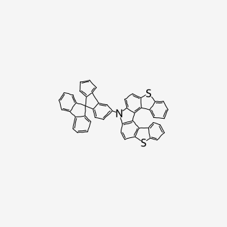 c1ccc2c(c1)-c1ccccc1C21c2ccccc2-c2cc(-n3c4ccc5sc6ccccc6c5c4c4c5c(ccc43)sc3ccccc35)ccc21